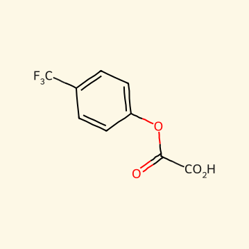 O=C(O)C(=O)Oc1ccc(C(F)(F)F)cc1